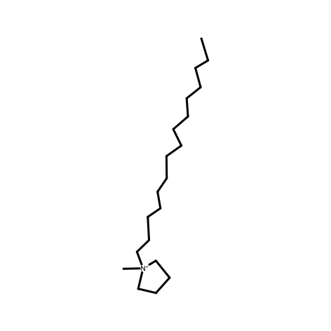 CCCCCCCCCCCCCCC[N+]1(C)CCCC1